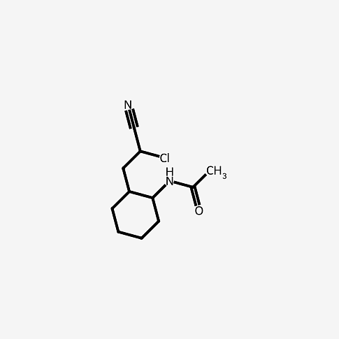 CC(=O)NC1CCCCC1CC(Cl)C#N